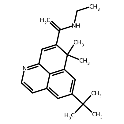 C=C(NCC)C1=Cc2nccc3cc(C(C)(C)C)cc(c23)C1(C)C